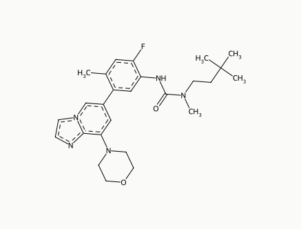 Cc1cc(F)c(NC(=O)N(C)CCC(C)(C)C)cc1-c1cc(N2CCOCC2)c2nccn2c1